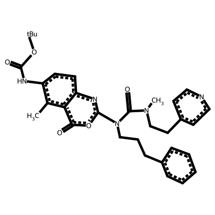 Cc1c(NC(=O)OC(C)(C)C)ccc2nc(N(CCCc3ccccc3)C(=O)N(C)CCc3ccncc3)oc(=O)c12